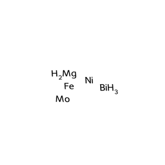 [BiH3].[Fe].[MgH2].[Mo].[Ni]